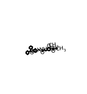 CCOC(=O)Oc1ccc(C=CC(=O)NCCN2CCN(OC(c3ccccc3)c3ccccc3)CC2)cc1OC